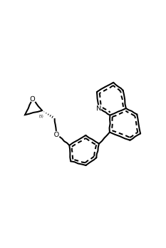 c1cc(OC[C@@H]2CO2)cc(-c2cccc3cccnc23)c1